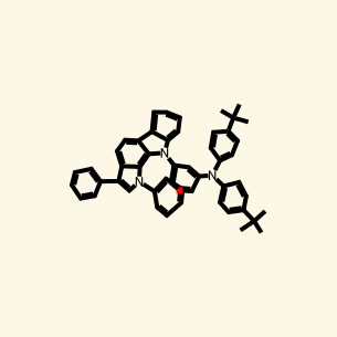 CC(C)(C)c1ccc(N(c2ccc(C(C)(C)C)cc2)c2cccc(-n3c4ccccc4c4ccc5c(-c6ccccc6)cn(-c6ccccc6)c5c43)c2)cc1